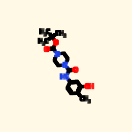 Cc1ccc(NC(=O)N2CCN(C(=O)OC(C)(C)C)CC2)cc1O